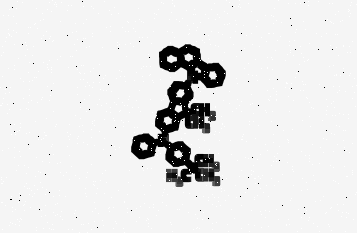 CC(C)(C)c1ccc(N(c2ccccc2)c2ccc3c(c2)C(C)(C)c2cc(-n4c5ccccc5c5ccc6ccccc6c54)ccc2-3)cc1